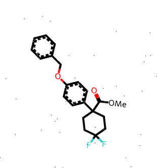 COC(=O)C1(c2ccc(OCc3ccccc3)cc2)CCC(F)(F)CC1